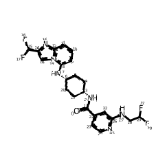 O=C(N[C@H]1CC[C@@H](Nc2cccc3nc(C(F)F)cn23)CC1)c1ccnc(NCC(F)F)c1